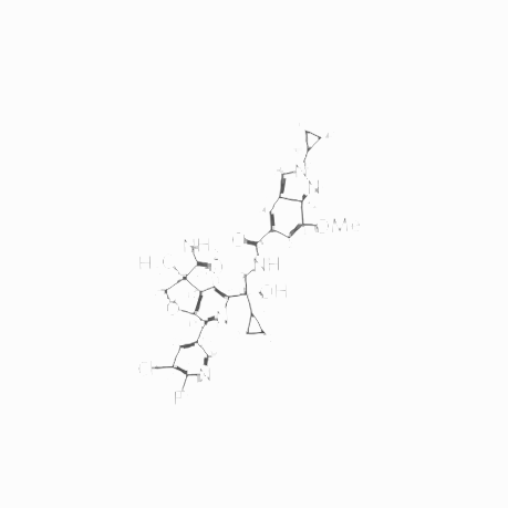 COc1cc(C(=O)NC[C@](O)(c2cc3c(c(-c4cnc(F)c(Cl)c4)n2)OC[C@]3(C)C(N)=O)C2CC2)cc2cn(C3CC3)nc12